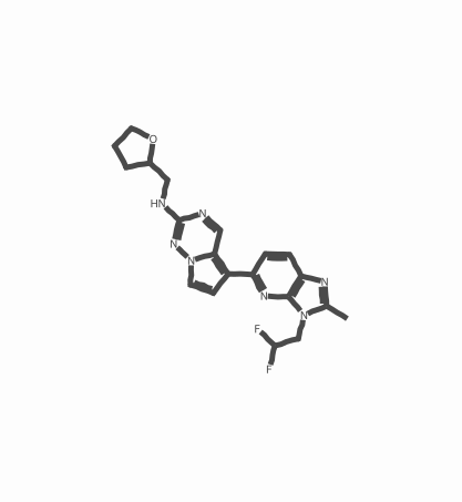 Cc1nc2ccc(-c3ccn4nc(NCC5CCCO5)ncc34)nc2n1CC(F)F